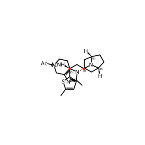 CC(=O)N[C@@H](CCN1[C@@H]2CC[C@H]1C[C@@H](n1c(C)nc3c1CCN(C(C)=O)C3)C2)c1ccc(C)s1